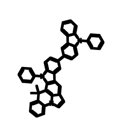 CC1(C)c2ccccc2-n2ccc3cc4c5cc(-c6ccc7c(c6)c6ccccc6n7-c6ccccc6)ccc5n(-c5ccccc5)c4c1c32